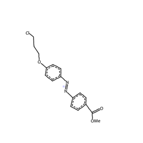 COC(=O)c1ccc(/N=N/c2ccc(OCCCCl)cc2)cc1